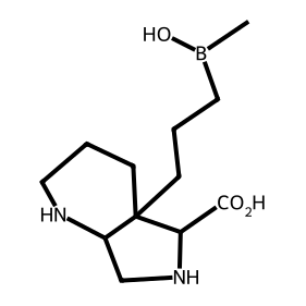 CB(O)CCCC12CCCNC1CNC2C(=O)O